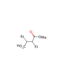 CCC(C(=O)O)C(CC)C(=O)OC